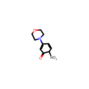 O=C1C=C(N2CCOCC2)C=CC1[N+](=O)[O-]